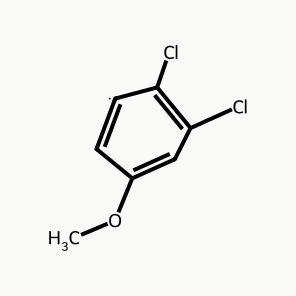 COc1c[c]c(Cl)c(Cl)c1